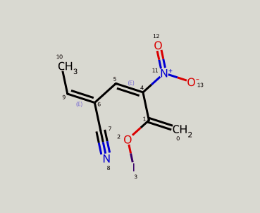 C=C(OI)/C(=C\C(C#N)=C/C)[N+](=O)[O-]